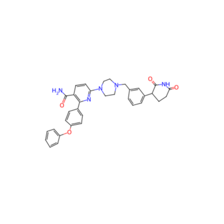 NC(=O)c1ccc(N2CCN(Cc3cccc(C4CCC(=O)NC4=O)c3)CC2)nc1-c1ccc(Oc2ccccc2)cc1